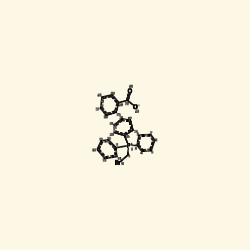 BrC[P+](c1ccccc1)(c1ccccc1)c1ccccc1.O=C([O-])c1ccccc1